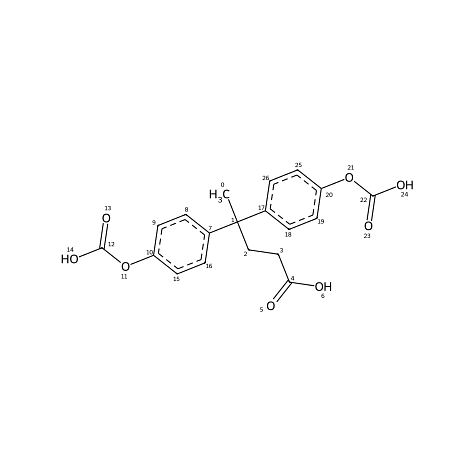 CC(CCC(=O)O)(c1ccc(OC(=O)O)cc1)c1ccc(OC(=O)O)cc1